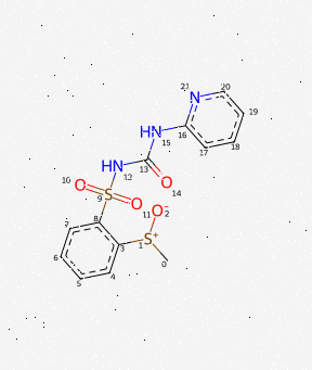 C[S+]([O-])c1ccccc1S(=O)(=O)NC(=O)Nc1ccccn1